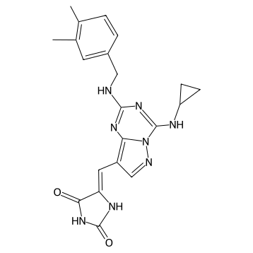 Cc1ccc(CNc2nc(NC3CC3)n3ncc(C=C4NC(=O)NC4=O)c3n2)cc1C